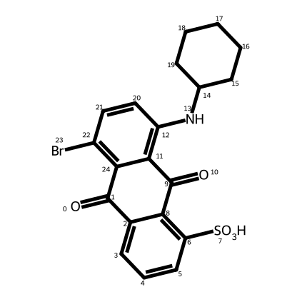 O=C1c2cccc(S(=O)(=O)O)c2C(=O)c2c(NC3CCCCC3)ccc(Br)c21